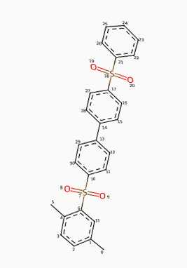 Cc1ccc(C)c(S(=O)(=O)c2ccc(-c3ccc(S(=O)(=O)c4ccccc4)cc3)cc2)c1